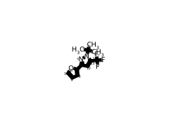 CC(C)(C)n1nc(-c2ccco2)cc1C(F)(F)F